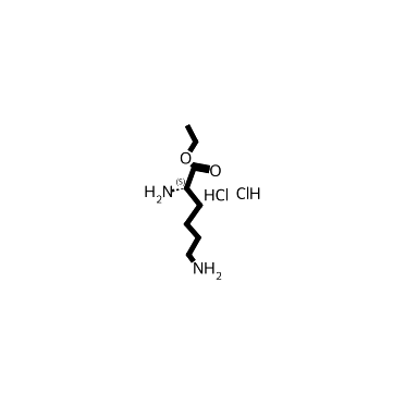 CCOC(=O)[C@@H](N)CCCCN.Cl.Cl